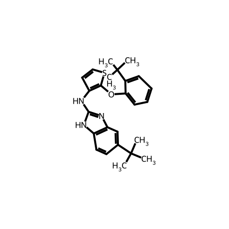 CC(C)(C)c1ccc2[nH]c(Nc3ccsc3Oc3ccccc3C(C)(C)C)nc2c1